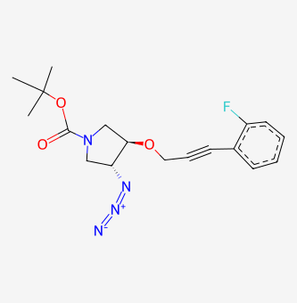 CC(C)(C)OC(=O)N1C[C@@H](N=[N+]=[N-])[C@H](OCC#Cc2ccccc2F)C1